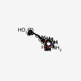 CC[C@H]1OC(=O)[C@H](C)[C@@H](O[C@H]2C[C@@](C)(OC)[C@@H](OC(=O)NCCOCCCc3ccc4c(c3)c(=O)c(C(=O)O)cn4N(C)C)[C@H](C)O2)[C@H](C)[C@@H](O[C@@H]2O[C@H](C)C[C@H](N(C)C)[C@H]2O)[C@](C)(O)CC(C)/C(=N\OCN)[C@@H](O)[C@]1(C)O